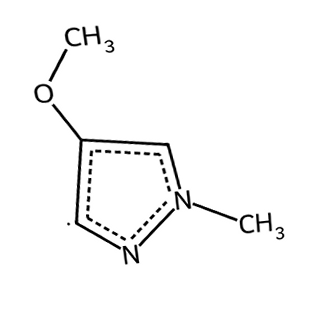 COc1[c]nn(C)c1